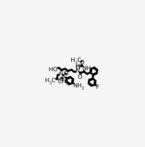 COC(=O)NC(Cc1ccccc1-c1cccc(F)c1)C(=O)NCCCCC(CO)N(CC(C)C)S(=O)(=O)c1ccc(N)cc1